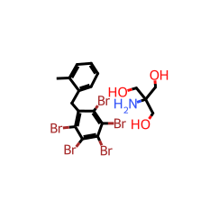 Cc1ccccc1Cc1c(Br)c(Br)c(Br)c(Br)c1Br.NC(CO)(CO)CO